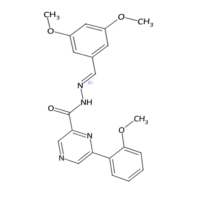 COc1cc(/C=N/NC(=O)c2cncc(-c3ccccc3OC)n2)cc(OC)c1